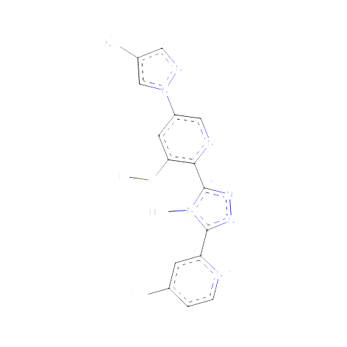 CCSc1cc(-n2cc(C#N)cn2)cnc1-c1nnc(-c2cc(C(F)(F)F)ccn2)n1C